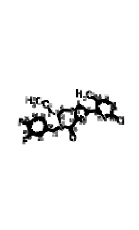 COC[C@@H]1Cn2cc(-c3nc(Cl)ncc3C)nc2C(=O)N1Cc1ccc(F)c(F)c1